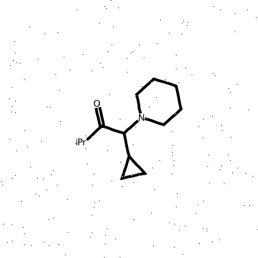 CC(C)C(=O)C(C1CC1)N1CCCCC1